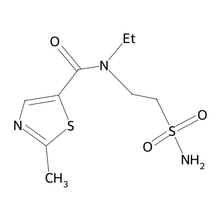 CCN(CCS(N)(=O)=O)C(=O)c1cnc(C)s1